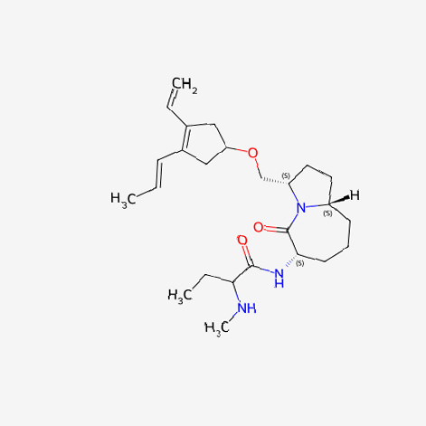 C=CC1=C(C=CC)CC(OC[C@@H]2CC[C@@H]3CCC[C@H](NC(=O)C(CC)NC)C(=O)N32)C1